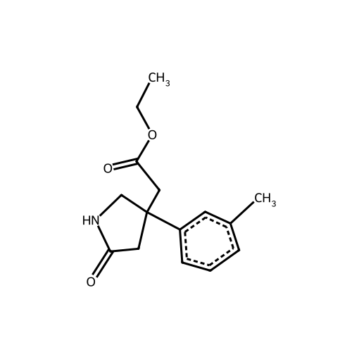 CCOC(=O)CC1(c2cccc(C)c2)CNC(=O)C1